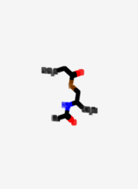 CCOC(=O)CC(=O)SCC(NC(=O)C(C)CC)C(=O)OCC